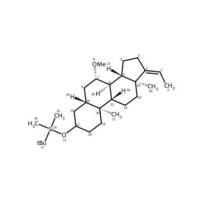 C/C=C1/CC[C@H]2[C@@H]3[C@@H](OC)C[C@H]4CC(O[Si](C)(C)C(C)(C)C)CC[C@]4(C)[C@H]3CC[C@]12C